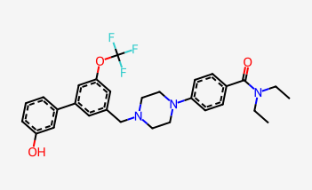 CCN(CC)C(=O)c1ccc(N2CCN(Cc3cc(OC(F)(F)F)cc(-c4cccc(O)c4)c3)CC2)cc1